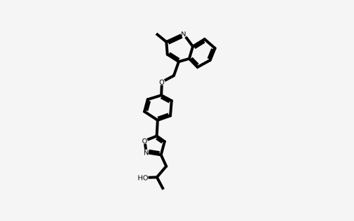 Cc1cc(COc2ccc(-c3cc(CC(C)O)no3)cc2)c2ccccc2n1